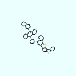 c1cc(-c2c3ccccc3c(-c3ccc4ccccc4c3)c3ccccc23)cc(-c2cc3c4ccc5sc6ccccc6c5c4sc3c3ccccc23)c1